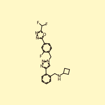 Fc1cc(-c2nnc(C(F)F)o2)ccc1Cn1cc(-c2ccccc2CNC2CCC2)nn1